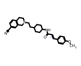 COc1ccc(/C=C/C(=O)NC2CCC(CCN3CCc4ccc(C#N)cc4C3)CC2)cc1